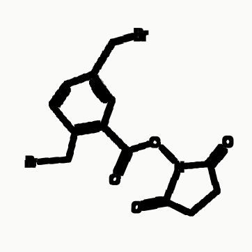 O=C(ON1C(=O)CCC1=O)c1cc(CBr)ccc1CBr